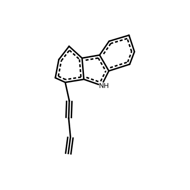 C#CC#Cc1cccc2c1[nH]c1ccccc12